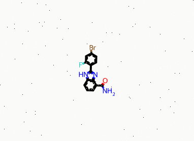 NC(=O)c1cccc2[nH]c(-c3ccc(Br)cc3F)nc12